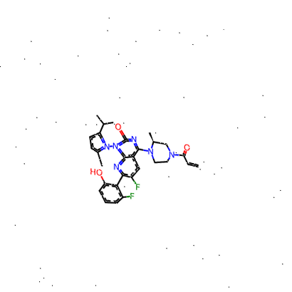 C=CC(=O)N1CCN(c2nc(=O)n(-n3c(C)ccc3C(C)C)c3nc(-c4c(O)cccc4F)c(F)cc23)[C@@H](C)C1